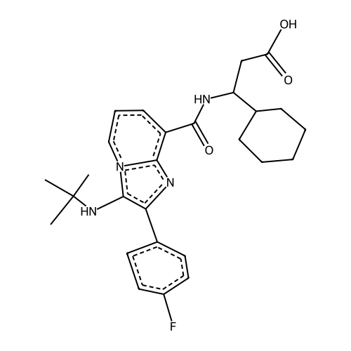 CC(C)(C)Nc1c(-c2ccc(F)cc2)nc2c(C(=O)NC(CC(=O)O)C3CCCCC3)cccn12